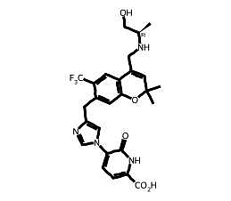 C[C@H](CO)NCC1=CC(C)(C)Oc2cc(Cc3cn(-c4ccc(C(=O)O)[nH]c4=O)cn3)c(C(F)(F)F)cc21